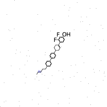 C/C=C/CCc1ccc(-c2ccc(C3CC=C(c4ccc(O)c(F)c4F)CC3)cc2)cc1